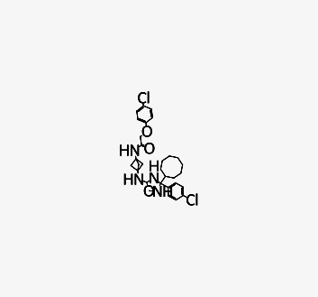 O=C(COc1ccc(Cl)cc1)NC12CC(NC3NC(c4ccc(Cl)cc4)(C4CCCCCCC4)NO3)(C1)C2